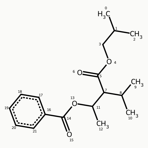 CC(C)COC(=O)C(C(C)C)C(C)OC(=O)c1ccccc1